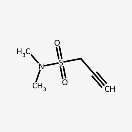 C#CCS(=O)(=O)N(C)C